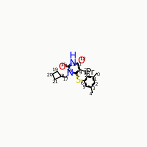 Cc1cc(C)cc(Sc2c(C(C)C)c(=O)[nH]c(=O)n2CC2CCC2)c1